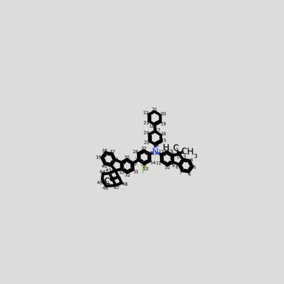 CC1(C)c2ccccc2-c2ccc(N(C3=CCC(C4=CCCC=C4)C=C3)c3ccc(-c4ccc5c(c4)-c4ccccc4C54C5CC6CC7CC4C75C6)c(F)c3)cc21